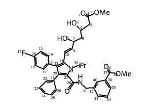 COC(=O)C[C@H](O)C[C@H](O)C=Cc1c(-c2ccc(F)cc2)c(-c2ccccc2)c(C(=O)NCc2cccc(C(=O)OC)c2)n1C(C)C